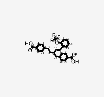 O=C(O)c1ccc(CCC(/C=C/c2ccccc2OC(F)(F)F)Cc2ccc(C(=O)O)cc2)cc1